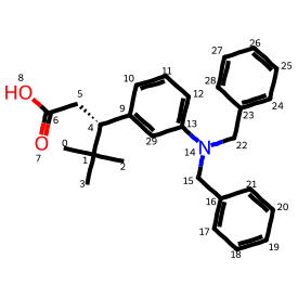 CC(C)(C)[C@H](CC(=O)O)c1cccc(N(Cc2ccccc2)Cc2ccccc2)c1